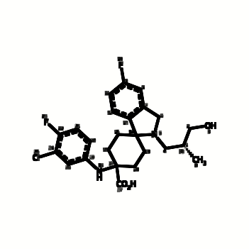 C[C@@H](CO)CN1Cc2cc(F)ccc2C12CCC(Nc1ccc(F)c(Cl)c1)(C(=O)O)CC2